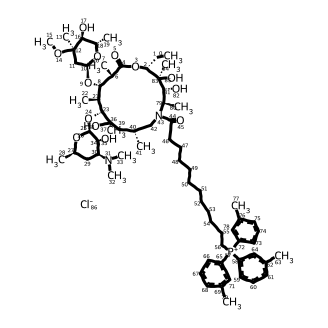 CC[C@H]1OC(=O)[C@H](C)[C@@H](O[C@H]2C[C@@](C)(OC)[C@@H](O)[C@H](C)O2)[C@H](C)[C@@H](O[C@@H]2O[C@H](C)C[C@H](N(C)C)[C@H]2O)[C@](C)(O)C[C@@H](C)CN(C(=O)CCCCCCCCCCC[P+](c2cccc(C)c2)(c2cccc(C)c2)c2cccc(C)c2)[C@H](C)[C@@H](O)[C@]1(C)O.[Cl-]